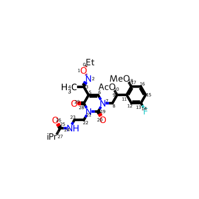 CCO/N=C(\C)c1cn(CC(OC(C)=O)c2cc(F)ccc2OC)c(=O)n(CCNC(=O)C(C)C)c1=O